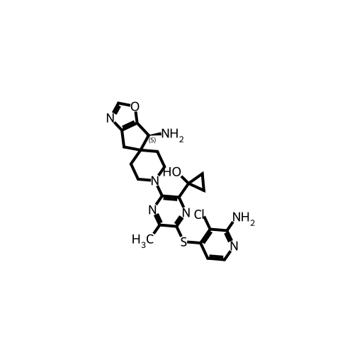 Cc1nc(N2CCC3(CC2)Cc2ncoc2[C@H]3N)c(C2(O)CC2)nc1Sc1ccnc(N)c1Cl